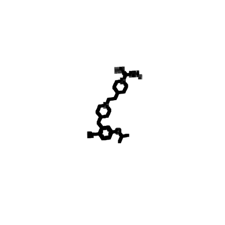 CC(C)Oc1ccc(Br)c(CC2CCN(CCC3CCN(C(=N)N)CC3)CC2)c1